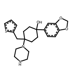 OC1(c2ccc3c(c2)OCO3)CCC(Cc2cccs2)(N2CCNCC2)CC1